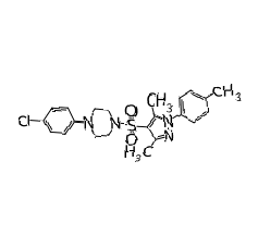 Cc1ccc(-n2nc(C)c(S(=O)(=O)N3CCN(c4ccc(Cl)cc4)CC3)c2C)cc1